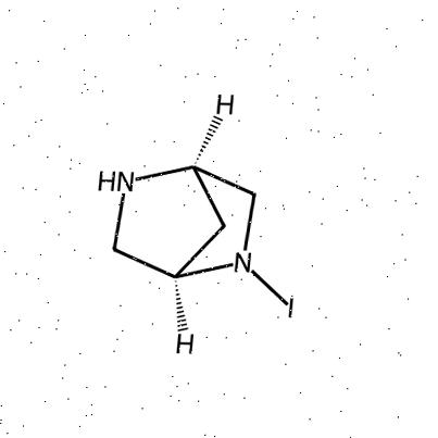 IN1C[C@H]2C[C@@H]1CN2